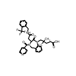 CC(C)(CCC(=O)O)CN1C(=O)C(CC(=O)NCc2ccccc2C(F)(F)F)N(C(=O)c2ccncc2)Cc2ccccc21